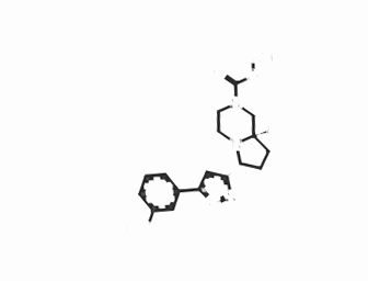 Cc1cccc(-c2cc([C@H]3CC[C@H]4CN(C(=O)OC(C)(C)C)CCN43)no2)c1